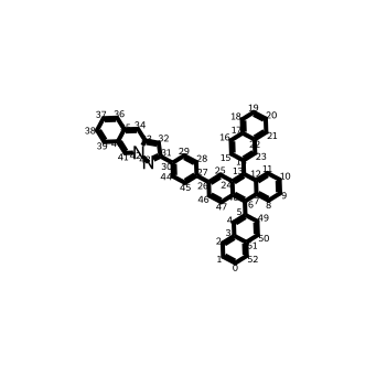 c1ccc2cc(-c3c4ccccc4c(-c4ccc5ccccc5c4)c4cc(-c5ccc(-c6cc7cc8ccccc8cn7n6)cc5)ccc34)ccc2c1